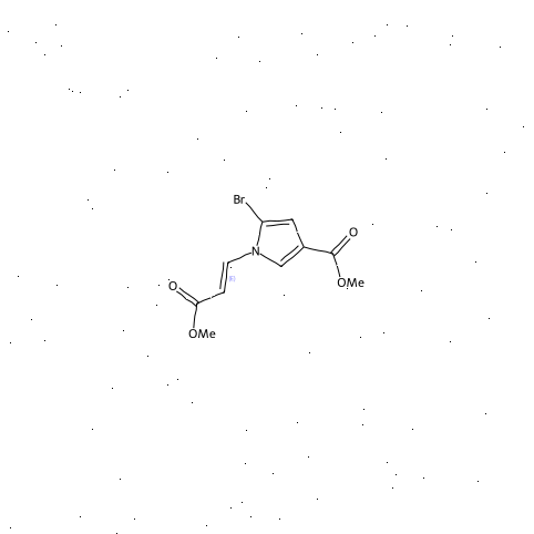 COC(=O)/C=C/n1cc(C(=O)OC)cc1Br